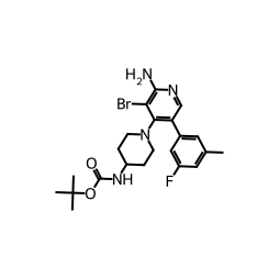 Cc1cc(F)cc(-c2cnc(N)c(Br)c2N2CCC(NC(=O)OC(C)(C)C)CC2)c1